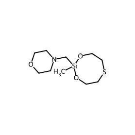 C[Si]1(CN2CCOCC2)OCCSCCO1